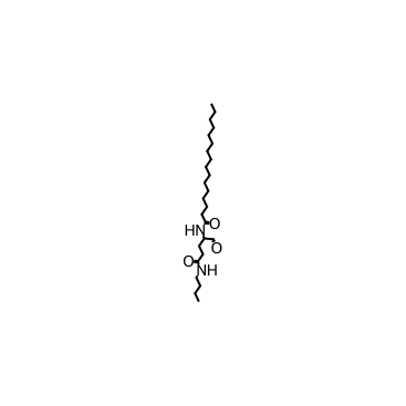 CCCCCCCCCCCCCCCC(=O)NC(C=O)CCC(=O)NCCCC